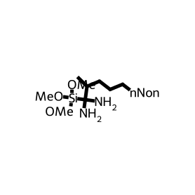 CCCCCCCCCCCCC(C)C(N)(N)[Si](OC)(OC)OC